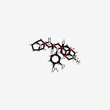 CC(=O)N1CCC(C(=O)N(CCCN2C3CCC2CC(NC(=O)Cc2ccc(C(F)(F)F)cc2)C3)c2ccc(C)c(Cl)c2)CC1